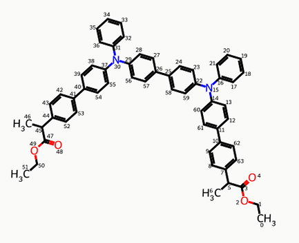 CCOC(=O)C(C)c1ccc(-c2ccc(N(c3ccccc3)c3ccc(-c4ccc(N(c5ccccc5)c5ccc(-c6ccc(C(C)C(=O)OCC)cc6)cc5)cc4)cc3)cc2)cc1